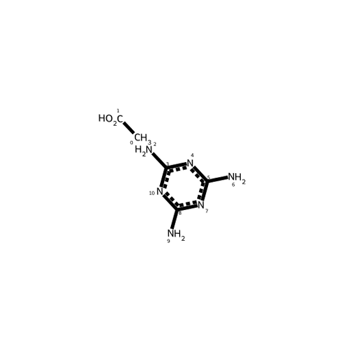 CC(=O)O.Nc1nc(N)nc(N)n1